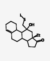 CC[C@]12CC(O)(CSI)C3C4CCCC=C4CCC3C1CCC2=O